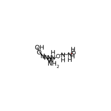 Nc1cc(N2CCN(CCOCCO)CC2)nc(NCC2CCC(CNCCCNC3C[C@@H]4CC[C@H]3C4)CC2)n1